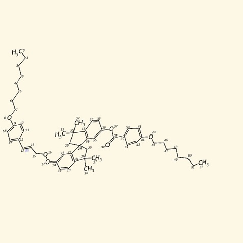 CCCCCCCCOc1ccc(/C=C/COOc2ccc3c(c2)C2(CC3(C)C)CC(C)(C)c3ccc(OC(=O)c4ccc(OCCCCCCCC)cc4)cc32)cc1